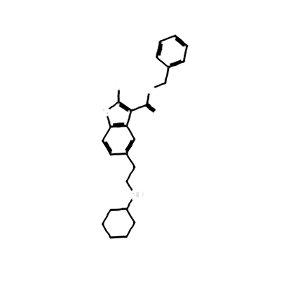 Cc1[nH]c2ccc(CCNC3CCCCC3)cc2c1C(=O)OCc1ccccc1